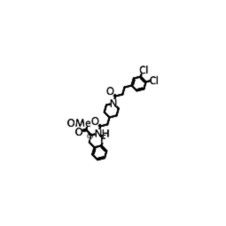 COC(=O)[C@H](Cc1ccccc1F)NC(=O)CC1CCN(C(=O)CCc2ccc(Cl)c(Cl)c2)CC1